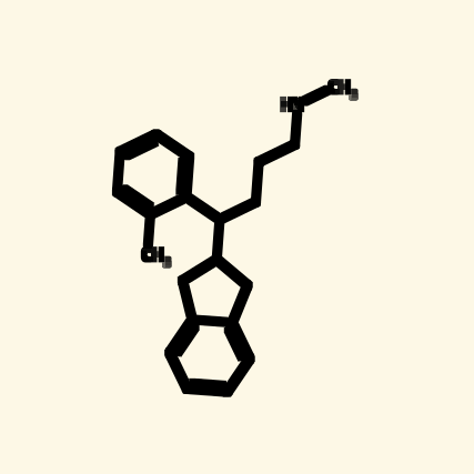 CNCCCC(c1ccccc1C)C1Cc2ccccc2C1